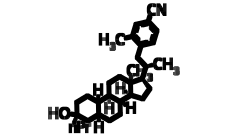 CCC[C@@]1(O)CC[C@H]2[C@H](CC[C@@H]3[C@@H]2CC[C@]2(C)[C@@H]([C@H](C)Cc4ccc(C#N)cc4C)CC[C@@H]32)C1